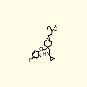 COC(=O)CCN1CCC(CNC2CC2)(COc2ccc(F)cn2)CC1